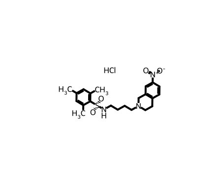 Cc1cc(C)c(S(=O)(=O)NCCCCN2CCc3ccc([N+](=O)[O-])cc3C2)c(C)c1.Cl